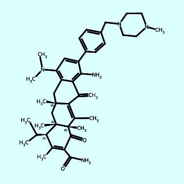 C=C1C2=C(C)[C@]3(C)C(=O)C(C(N)=O)=C(C)[C@@H](C(C)C)[C@]3(C)C[C@]2(C)Cc2c(N(C)C)cc(-c3ccc(CN4CCN(C)CC4)cc3)c(N)c21